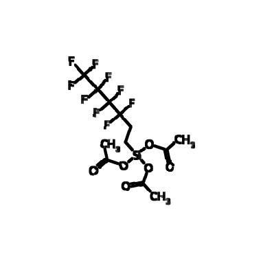 CC(=O)O[Si](CCC(F)(F)C(F)(F)C(F)(F)C(F)(F)F)(OC(C)=O)OC(C)=O